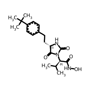 CC(C)[C@H](C(=O)NO)N1C(=O)N[C@@H](CCc2ccc(C(C)(C)C)cc2)C1=O